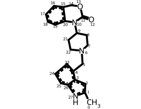 Cc1cc2c(CN3CCC(N4C(=O)OCc5ccccc54)CC3)cccc2[nH]1